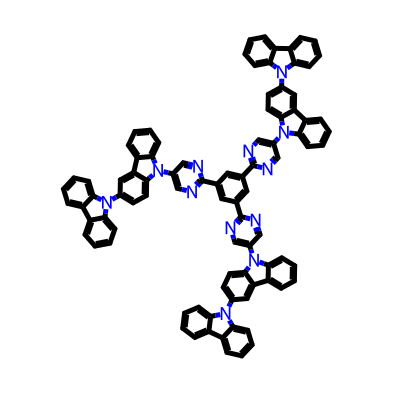 c1ccc2c(c1)c1ccccc1n2-c1ccc2c(c1)c1ccccc1n2-c1cnc(-c2cc(-c3ncc(-n4c5ccccc5c5cc(-n6c7ccccc7c7ccccc76)ccc54)cn3)cc(-c3ncc(-n4c5ccccc5c5cc(-n6c7ccccc7c7ccccc76)ccc54)cn3)c2)nc1